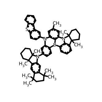 Cc1cc2c3c(c1)N1c4c(cccc4C4(C)CCCCC14C)B3c1ccc(N3c4cc5c(cc4[C@]4(C)CCCCC34C)C(C)(C)CCC5(C)C)cc1N2c1ccc2sc3ccccc3c2c1